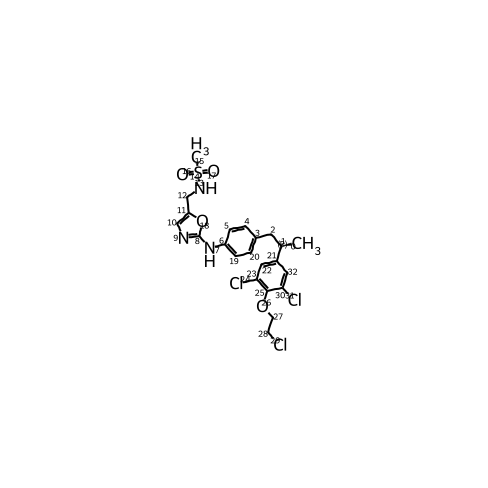 C[C@H](Cc1ccc(Nc2ncc(CNS(C)(=O)=O)o2)cc1)c1cc(Cl)c(OCCCl)c(Cl)c1